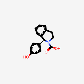 O=C(O)N1CCc2ccccc2[C@@H]1c1ccc(O)cc1